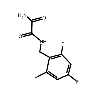 NC(=O)C(=O)NCc1c(F)cc(F)cc1F